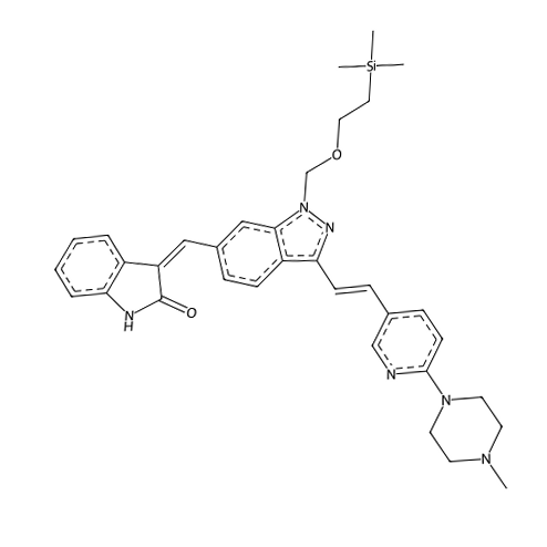 CN1CCN(c2ccc(/C=C/c3nn(COCC[Si](C)(C)C)c4cc(/C=C5\C(=O)Nc6ccccc65)ccc34)cn2)CC1